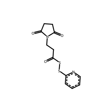 O=C(CCN1C(=O)CCC1=O)SSc1ccccn1